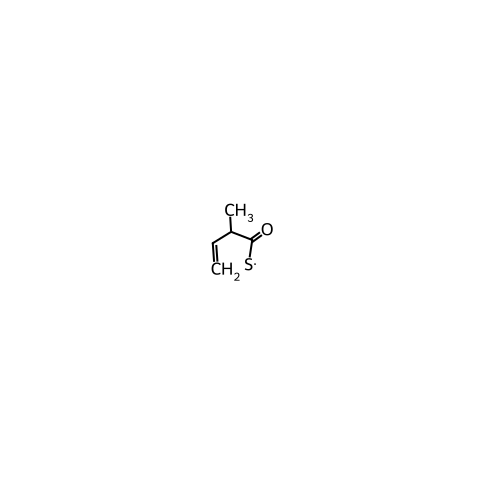 C=CC(C)C(=O)[S]